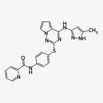 Cc1cc(Nc2nc(Sc3ccc(NC(=O)c4ccccn4)cc3)nn3cccc23)n[nH]1